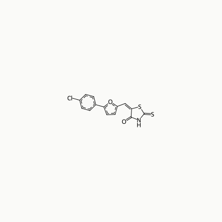 O=C1NC(=S)S/C1=C/c1ccc(-c2ccc(Cl)cc2)o1